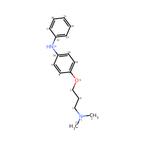 CN(C)CCCOc1ccc(Nc2ccccc2)cc1